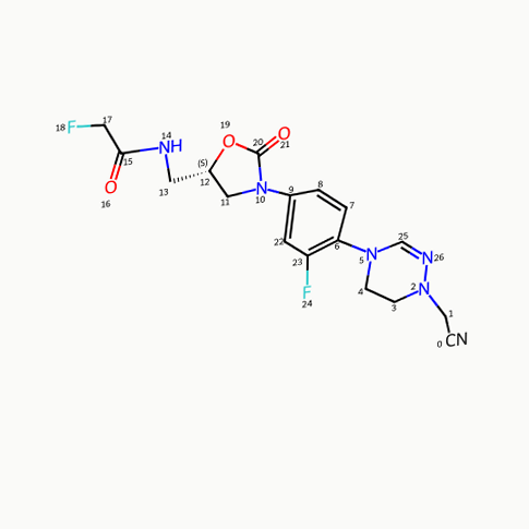 N#CCN1CCN(c2ccc(N3C[C@H](CNC(=O)CF)OC3=O)cc2F)C=N1